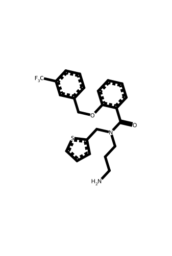 NCCCN(Cc1cccs1)C(=O)c1ccccc1OCc1cccc(C(F)(F)F)c1